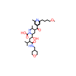 COCCCCc1cc(C(=O)C(CC(NC(=O)O)C(O)CC(C(=O)NCC2CCOCC2)C(C)C)C(C)C)cc(C)n1